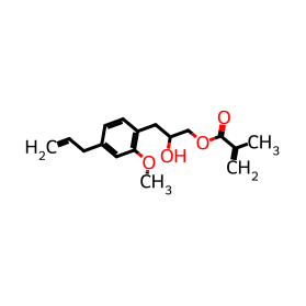 C=CCc1ccc(CC(O)COC(=O)C(=C)C)c(OC)c1